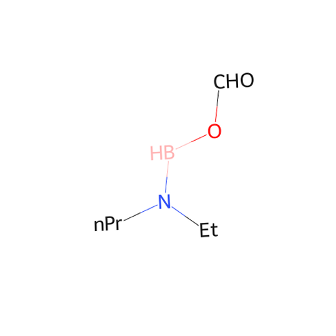 CCCN(BOC=O)CC